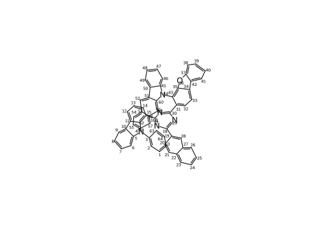 c1ccc(-n2c3ccccc3c3cccc(-c4nc(-c5ccc6ccccc6c5)nc(-c5ccc6c(oc7ccccc76)c5-n5c6ccccc6c6cc7ccccc7cc65)n4)c32)cc1